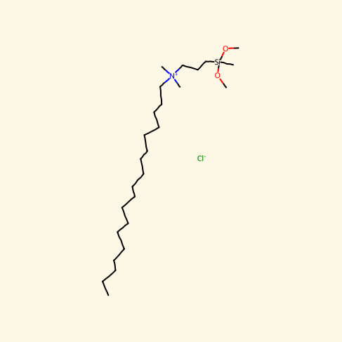 CCCCCCCCCCCCCCCCCC[N+](C)(C)CCC[Si](C)(OC)OC.[Cl-]